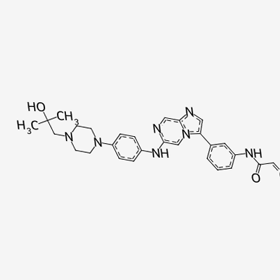 C=CC(=O)Nc1cccc(-c2cnc3cnc(Nc4ccc(N5CCN(CC(C)(C)O)CC5)cc4)cn23)c1